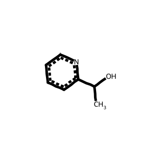 CC(O)c1ccc[c]n1